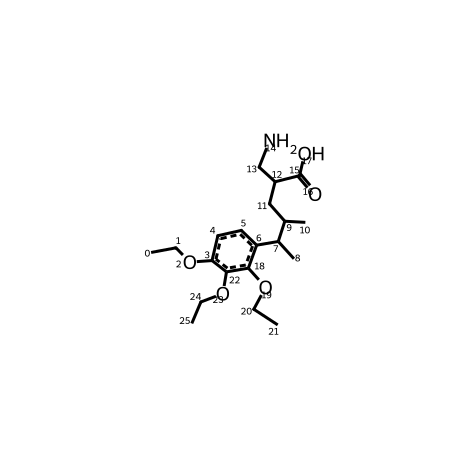 CCOc1ccc(C(C)C(C)CC(CN)C(=O)O)c(OCC)c1OCC